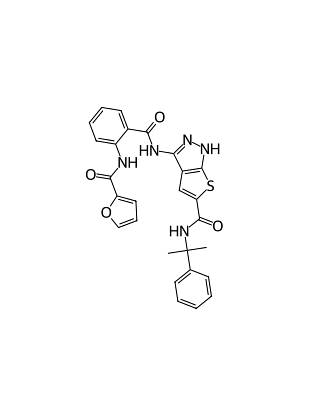 CC(C)(NC(=O)c1cc2c(NC(=O)c3ccccc3NC(=O)c3ccco3)n[nH]c2s1)c1ccccc1